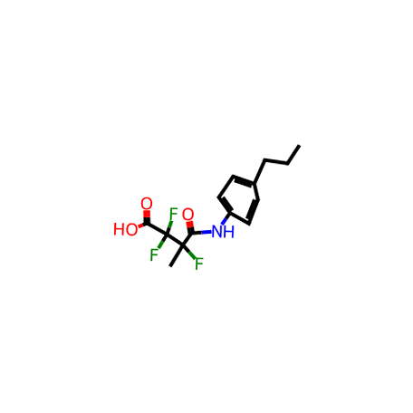 CCCc1ccc(NC(=O)C(C)(F)C(F)(F)C(=O)O)cc1